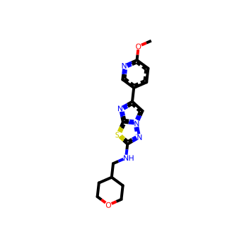 COc1ccc(-c2cn3nc(NCC4CCOCC4)sc3n2)cn1